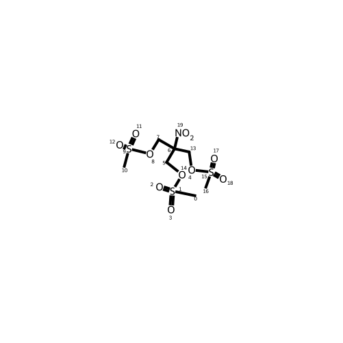 CS(=O)(=O)OCC(COS(C)(=O)=O)(COS(C)(=O)=O)[N+](=O)[O-]